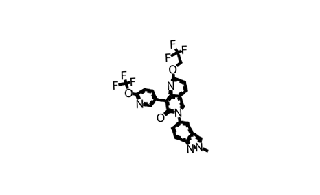 Cn1cc2cc(-n3cc4ccc(OCC(F)(F)F)nc4c(-c4ccc(OC(F)(F)F)nc4)c3=O)ccc2n1